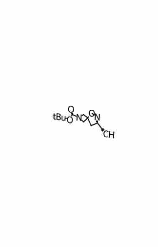 C#CC1=NOC2(C1)CN(C(=O)OC(C)(C)C)C2